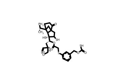 C[C@H](P)C12CCC(=O)C3(CC(S)[C@@](S)([C@@H](C[C@@](S)(C=S)CO)OC(=O)CSc4cccc(COC(=O)S)c4)C31)C2